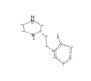 Fc1ccccc1CCC1CNCC[N]1